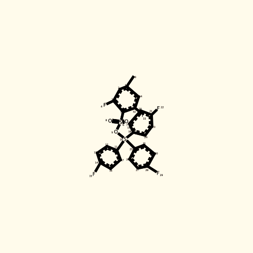 Cc1cc(F)c(S(=O)(=O)OS(c2ccc(F)cc2)(c2ccc(F)cc2)c2ccc(F)cc2)c(F)c1